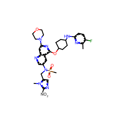 Cc1nc(NC2CCC(Oc3nc(N4CCOCC4)cc4ncc(N(Cc5cnc([N+](=O)[O-])n5C)S(C)(=O)=O)cc34)CC2)ccc1F